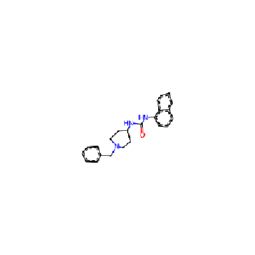 O=C(Nc1cccc2ccccc12)NC1CCN(Cc2ccccc2)CC1